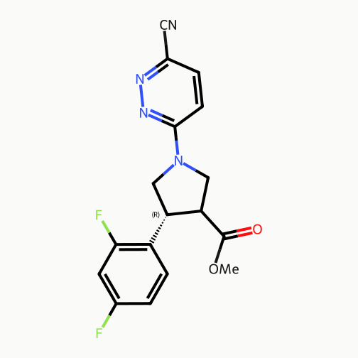 COC(=O)C1CN(c2ccc(C#N)nn2)C[C@H]1c1ccc(F)cc1F